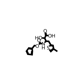 Cc1csc(CC(NC(=O)OCc2ccccc2)C(O)C(=O)O)c1